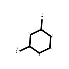 Cl[C]1CCCC(Cl)C1